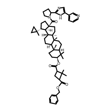 CC1(C)C(C(=O)OCc2ccccc2)CC1C(=O)O[C@H]1CC[C@]2(C)[C@H]3CC[C@@H]4[C@H]5[C@H](C6(C)CC6)CC[C@]5(C(=O)N5CCCC5c5ncc(-c6cccnc6)[nH]5)CC[C@@]4(C)[C@]3(C)CC[C@H]2C1(C)C